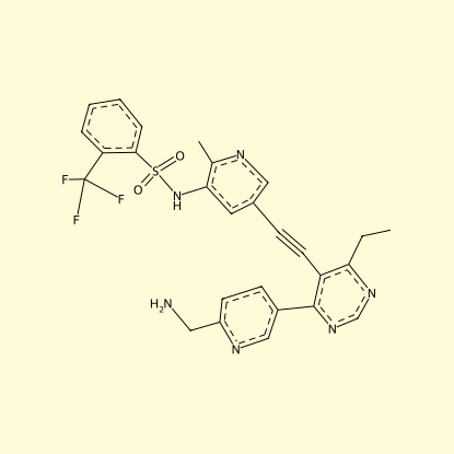 CCc1ncnc(-c2ccc(CN)nc2)c1C#Cc1cnc(C)c(NS(=O)(=O)c2ccccc2C(F)(F)F)c1